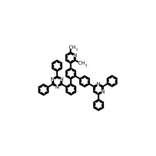 Cc1ccc(-c2ccc(-c3ccccc3-c3nc(-c4ccccc4)nc(-c4ccccc4)n3)c(-c3ccc(-c4cc(-c5ccccc5)nc(-c5ccccc5)n4)cc3)c2)c(C)n1